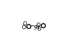 c1ccc2c(c1)ON(SCc1ccc3c(c1)OCO3)O2